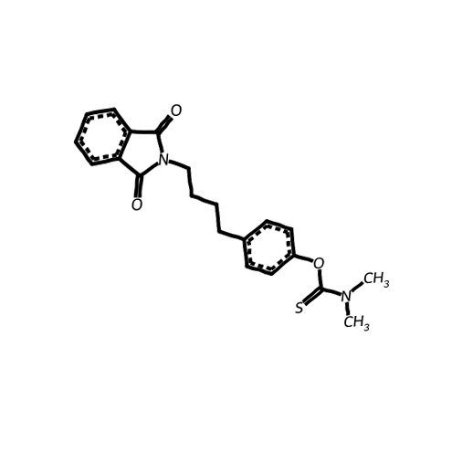 CN(C)C(=S)Oc1ccc(CCCCN2C(=O)c3ccccc3C2=O)cc1